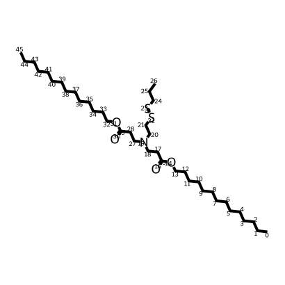 CCCCCCCCCCCCCCOC(=O)CCN(CCSSCCC)CCC(=O)OCCCCCCCCCCCCCC